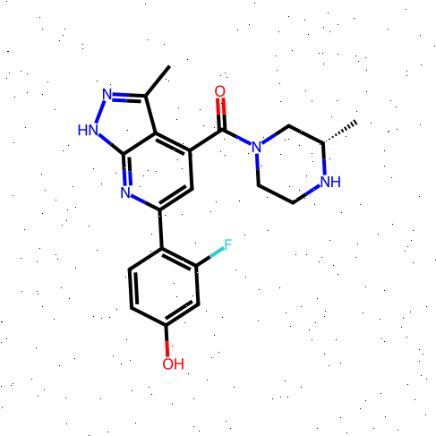 Cc1n[nH]c2nc(-c3ccc(O)cc3F)cc(C(=O)N3CCN[C@@H](C)C3)c12